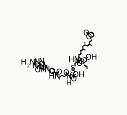 C/C=C/[C@@H]1O[C@H]([C@@H](/C=C/C=C(\C)C[C@@H](C)/C=C(C)\C=C\[C@H]2CC=CC(=O)O2)NC(=O)CCSSC[C@H](NC(=O)CC[C@@H](C)NC(=O)c2ccc(NCc3cnc4nc(N)nc(O)c4n3)cc2)C(=O)O)C[C@@H](O)[C@@H]1C